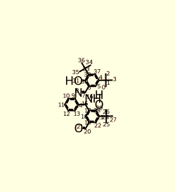 CC(C)(C)c1cc(C=Nc2ccccc2C(=N)c2cc(C=O)cc(C(C)(C)C)c2O)c(O)c(C(C)(C)C)c1